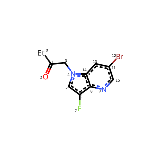 CCC(=O)Cn1cc(F)c2ncc(Br)cc21